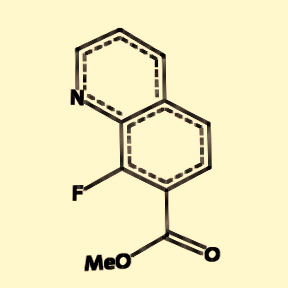 COC(=O)c1ccc2cccnc2c1F